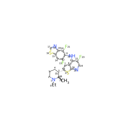 CCN1CCC[C@H](c2cc3c(Nc4c(F)cc5scnc5c4F)c(F)cnc3s2)[C@H]1C